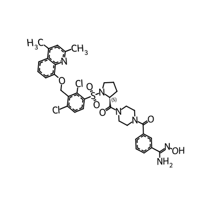 Cc1cc(C)c2cccc(OCc3c(Cl)ccc(S(=O)(=O)N4CCC[C@H]4C(=O)N4CCN(C(=O)c5cccc(C(N)=NO)c5)CC4)c3Cl)c2n1